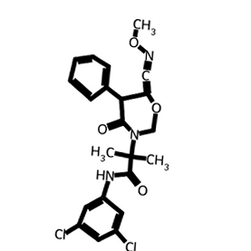 CON=C=C1OCN(C(C)(C)C(=O)Nc2cc(Cl)cc(Cl)c2)C(=O)C1c1ccccc1